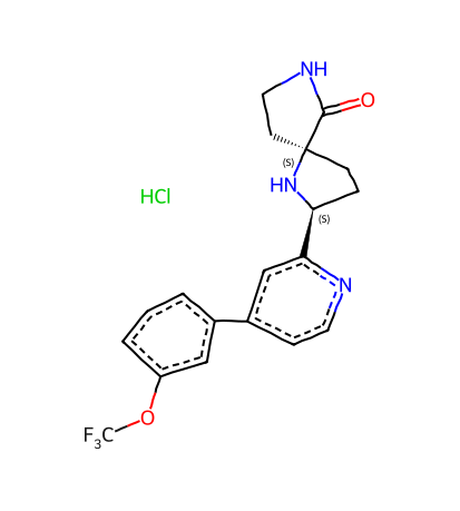 Cl.O=C1NCC[C@@]12CC[C@@H](c1cc(-c3cccc(OC(F)(F)F)c3)ccn1)N2